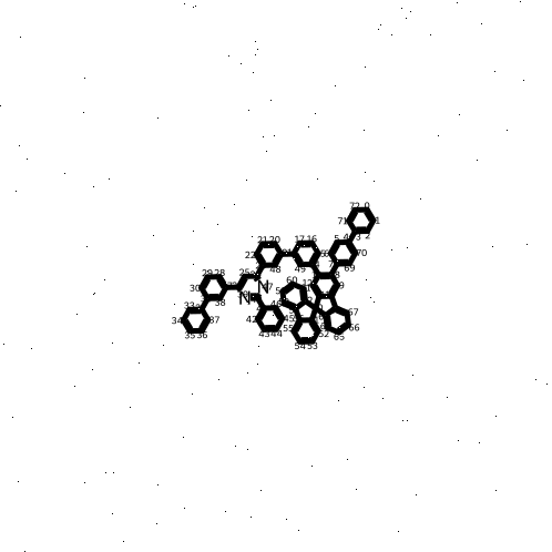 c1ccc(-c2ccc(-c3cc4c(cc3-c3cccc(-c5cccc(-c6cc(-c7cccc(-c8ccccc8)c7)nc(-c7ccccc7)n6)c5)c3)C3(c5ccccc5-c5ccccc53)c3ccccc3-4)cc2)cc1